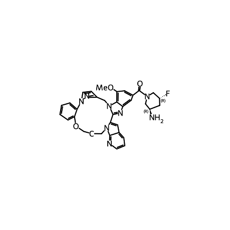 COc1cc(C(=O)N2C[C@H](N)C[C@@H](F)C2)cc2nc3n(c12)Cc1ccn(n1)-c1ccccc1OCCCn1c-3cc2cccnc21